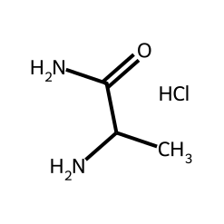 CC(N)C(N)=O.Cl